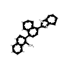 Cc1c(-c2ccc(-c3nc4ccccc4o3)c3ccccc23)ccc2ccccc12